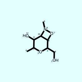 CC1OC(CO)C2ON(C)C2C1O